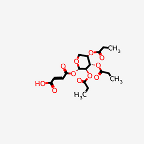 CCC(=O)O[C@@H]1[C@@H](OC(=O)CC)[C@H](OC(=O)/C=C/C(=O)O)OC[C@H]1OC(=O)CC